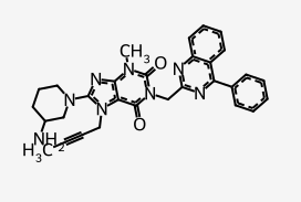 CC#CCn1c(N2CCCC(N)C2)nc2c1c(=O)n(Cc1nc(-c3ccccc3)c3ccccc3n1)c(=O)n2C